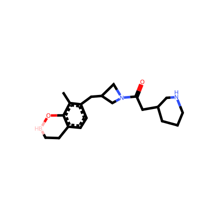 Cc1c(CC2CN(C(=O)CC3CCCNC3)C2)ccc2c1OBCC2